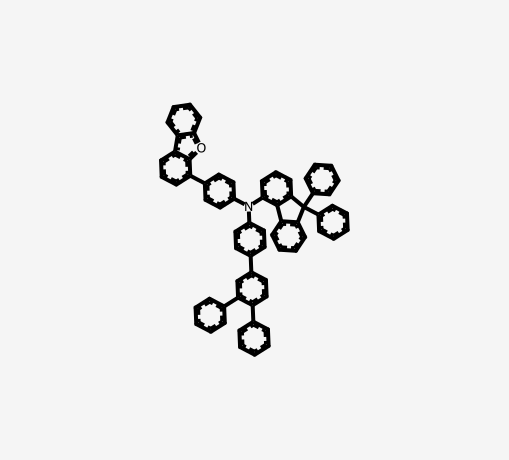 c1ccc(-c2ccc(-c3ccc(N(c4ccc(-c5cccc6c5oc5ccccc56)cc4)c4cccc5c4-c4ccccc4C5(c4ccccc4)c4ccccc4)cc3)cc2-c2ccccc2)cc1